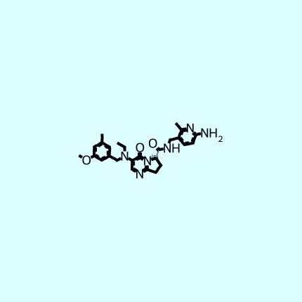 CCN(Cc1cc(C)cc(OC)c1)c1cnc2n(c1=O)[C@H](C(=O)NCc1ccc(N)nc1C)CC2